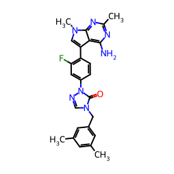 Cc1cc(C)cc(Cn2cnn(-c3ccc(-c4cn(C)c5nc(C)nc(N)c45)c(F)c3)c2=O)c1